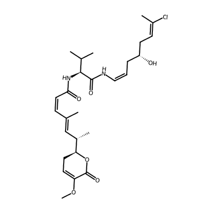 COC1=CC[C@@H]([C@@H](C)/C=C(C)/C=C\C(=O)N[C@H](C(=O)N/C=C\C[C@@H](O)C/C=C(\C)Cl)C(C)C)OC1=O